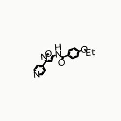 CCOc1ccc(C(=O)Nc2cc(-c3ccncc3)no2)cc1